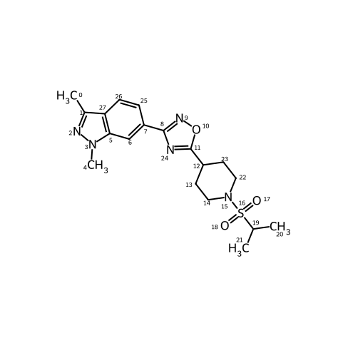 Cc1nn(C)c2cc(-c3noc(C4CCN(S(=O)(=O)C(C)C)CC4)n3)ccc12